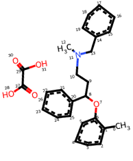 Cc1ccccc1OC(CCN(C)Cc1ccccc1)c1ccccc1.O=C(O)C(=O)O